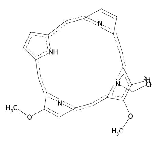 [2H]c1c(OC)c2cc3nc(cc4ccc(cc5nc(cc1n2CC)C=C5)[nH]4)C(OC)=C3